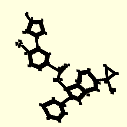 Cn1ccc(-c2cc(C(=O)Nc3c(-c4ccccc4)nc4cc(C5(O)CC5)ccn34)ccc2C(F)(F)F)n1